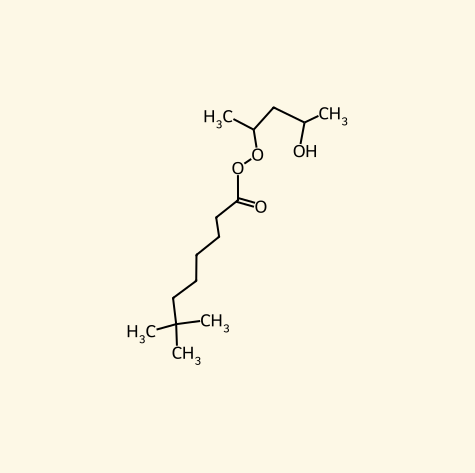 CC(O)CC(C)OOC(=O)CCCCCC(C)(C)C